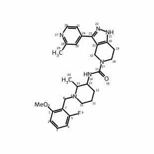 COc1cccc(F)c1CN1CCCC(NC(=O)N2CCc3[nH]nc(-c4ccnc(C)c4)c3C2)C1C